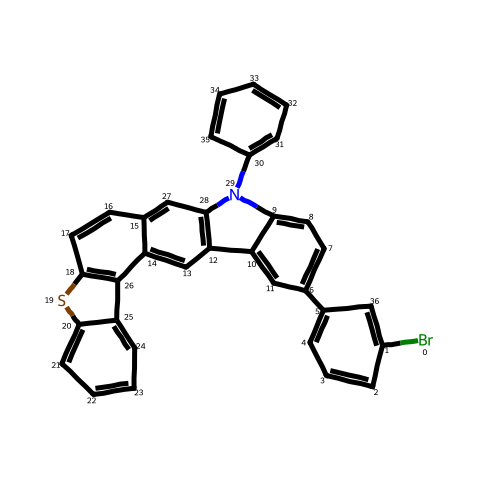 Brc1cccc(-c2ccc3c(c2)c2cc4c(ccc5sc6ccccc6c54)cc2n3-c2ccccc2)c1